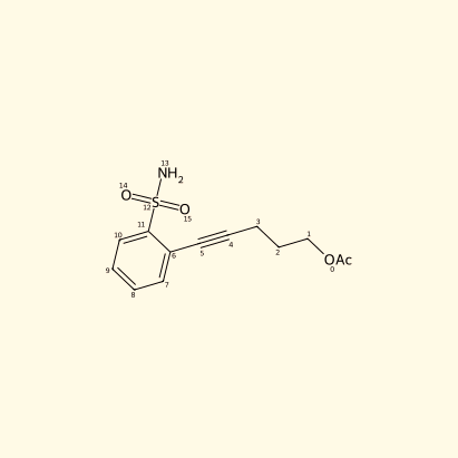 CC(=O)OCCCC#Cc1ccccc1S(N)(=O)=O